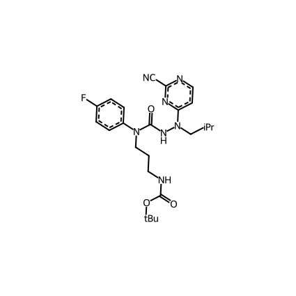 CC(C)CN(NC(=O)N(CCCNC(=O)OC(C)(C)C)c1ccc(F)cc1)c1ccnc(C#N)n1